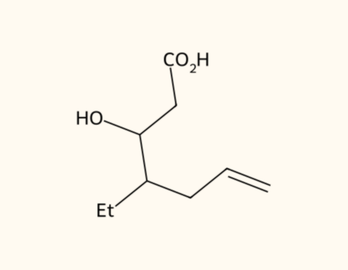 C=CCC(CC)C(O)CC(=O)O